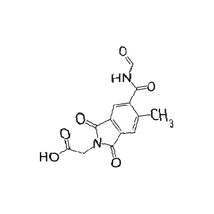 Cc1cc2c(cc1C(=O)NC=O)C(=O)N(CC(=O)O)C2=O